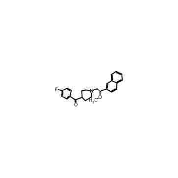 CO[C@@H](CN1CCC(C(=O)c2ccc(F)cc2)CC1)c1ccc2ccccc2c1